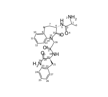 CC(N)C(=O)N[C@H]1CCc2ccccc2N(CC(=O)N[C@@H](Cc2ccccc2)C(N)=O)C1=O